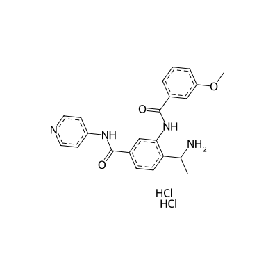 COc1cccc(C(=O)Nc2cc(C(=O)Nc3ccncc3)ccc2C(C)N)c1.Cl.Cl